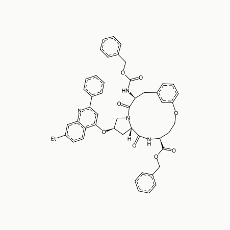 CCc1ccc2c(O[C@@H]3C[C@H]4C(=O)N[C@H](C(=O)OCc5ccccc5)CCOc5cccc(c5)C[C@H](NC(=O)OCc5ccccc5)C(=O)N4C3)cc(-c3ccccc3)nc2c1